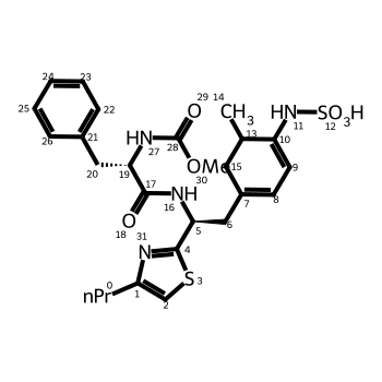 CCCc1csc([C@H](CC2=CC=C(NS(=O)(=O)O)C(C)C2)NC(=O)[C@H](Cc2ccccc2)NC(=O)OC)n1